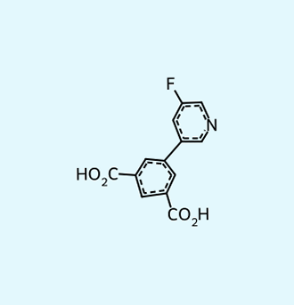 O=C(O)c1cc(C(=O)O)cc(-c2cncc(F)c2)c1